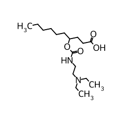 CCCCCCC(CCC(=O)O)OC(=O)NCCN(CC)CC